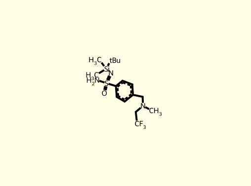 CN(Cc1ccc(S(N)(=O)=N[Si](C)(C)C(C)(C)C)cc1)CC(F)(F)F